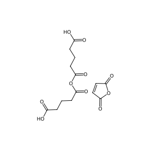 O=C(O)CCCC(=O)OC(=O)CCCC(=O)O.O=C1C=CC(=O)O1